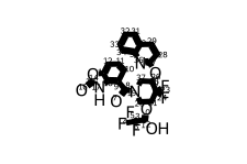 O=C(O)C(F)(F)F.O=C(c1cccc2oc(=O)[nH]c12)N1CCC(F)(F)[C@@H](Oc2ccc3ccccc3n2)C1